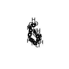 CNC(=O)COc1cc2cc(Nc3nc(N4CC[C@H](CN5CCN(c6ccc7c([C@H]8CCC(=O)NC8=O)nn(C)c7c6)CC5)[C@@H](F)C4)ncc3Cl)cnc2n(C(C)C)c1=O